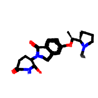 CCN1CCC[C@H]1[C@@H](C)Oc1ccc2c(c1)CN(C1CCC(=O)NC1=O)C2=O